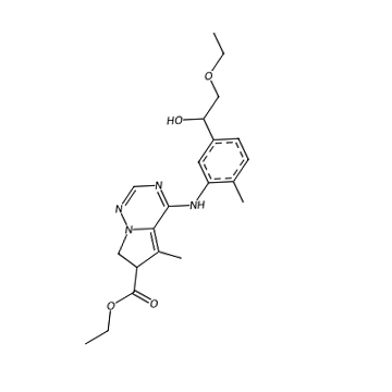 CCOCC(O)c1ccc(C)c(NC2=NC=NN3CC(C(=O)OCC)C(C)=C23)c1